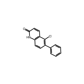 O=c1ccc2c(Cl)c(-c3ccccc3)ccc2[nH]1